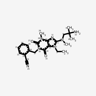 CCn1c(N(C)CC(C)(C)N)nc2c1c(=O)n(Cc1ccccc1C#N)c(=O)n2C